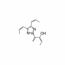 C=C(/C(O)=C\C)n1nc(/C=C\C)c(/C=C\C)n1